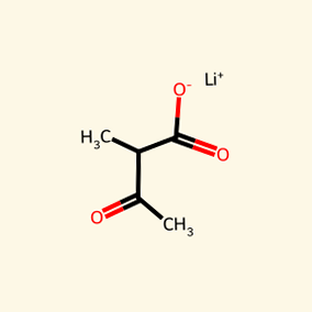 CC(=O)C(C)C(=O)[O-].[Li+]